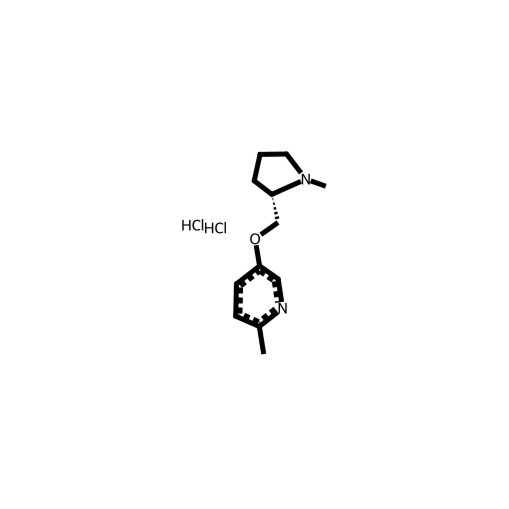 Cc1ccc(OC[C@@H]2CCCN2C)cn1.Cl.Cl